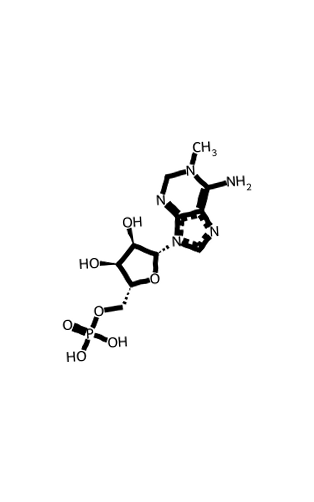 CN1CN=c2c(ncn2[C@@H]2O[C@H](COP(=O)(O)O)[C@@H](O)[C@H]2O)=C1N